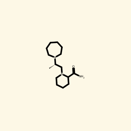 C[C@@H](CN1CC[CH]CC1C(N)=O)N1CCCCCC1